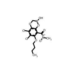 CCCCOc1c(Cl)c(Cl)c2c(c1C(=O)[NH+](C)[O-])OB(O)CO2